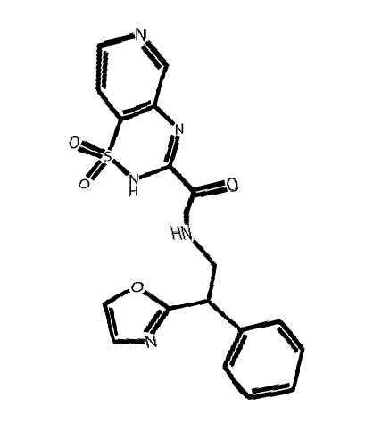 O=C(NCC(c1ccccc1)c1ncco1)C1=Nc2cnccc2S(=O)(=O)N1